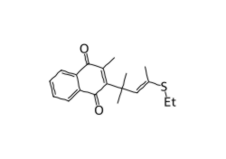 CCS/C(C)=C/C(C)(C)C1=C(C)C(=O)c2ccccc2C1=O